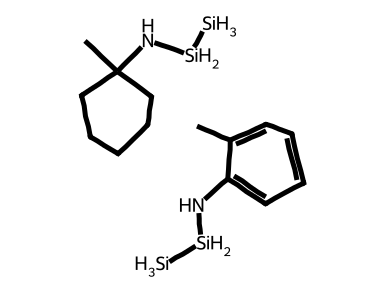 CC1(N[SiH2][SiH3])CCCCC1.Cc1ccccc1N[SiH2][SiH3]